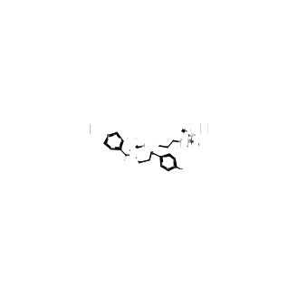 Cc1ccc([C@H](C)N2CC[C@@](CCCNS(C)(=O)=O)(c3ccc(F)cc3)OC2=O)cc1